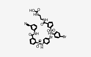 N#Cc1cccc(NC(=O)c2cccc(S(=O)(=O)Nc3ccc(Br)cc3)c2)c1.O=C(O)NCCNC(=O)c1cccc(S(=O)(=O)Nc2ccc(Br)cc2)c1